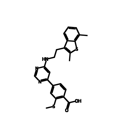 CSc1cc(-c2cc(NCCc3c(C)sc4c(C)cccc34)ncn2)ccc1C(=O)O